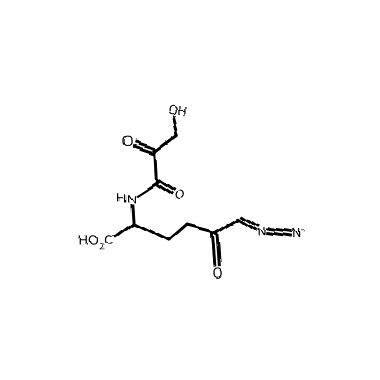 [N-]=[N+]=CC(=O)CCC(NC(=O)C(=O)CO)C(=O)O